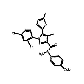 COc1ccc(N(N)C(=O)c2nn(-c3ccc(Cl)cc3Cl)c(-c3ccc(C)s3)c2C)cc1